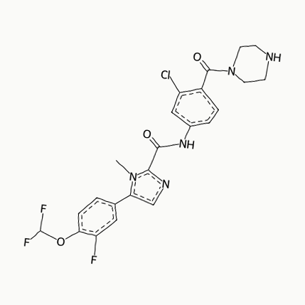 Cn1c(-c2ccc(OC(F)F)c(F)c2)cnc1C(=O)Nc1ccc(C(=O)N2CCNCC2)c(Cl)c1